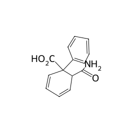 NC(=O)C1C=CC=CC1(C(=O)O)c1ccccc1